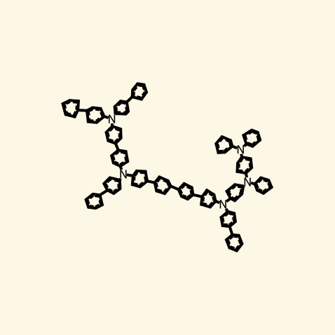 c1ccc(-c2ccc(N(c3ccc(-c4ccccc4)cc3)c3ccc(-c4ccc(N(c5ccc(-c6ccccc6)cc5)c5ccc(-c6ccc(-c7ccc(-c8ccc(N(c9ccc(-c%10ccccc%10)cc9)c9ccc(N(c%10ccccc%10)c%10ccc(N(c%11ccccc%11)c%11ccccc%11)cc%10)cc9)cc8)cc7)cc6)cc5)cc4)cc3)cc2)cc1